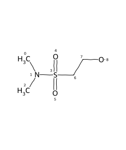 CN(C)S(=O)(=O)CC[O]